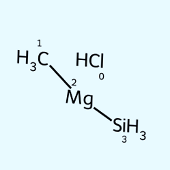 Cl.[CH3][Mg][SiH3]